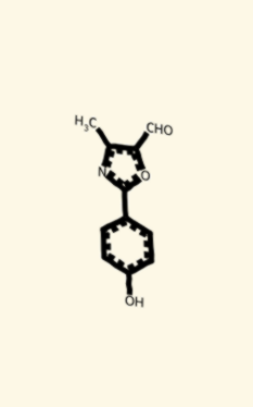 Cc1nc(-c2ccc(O)cc2)oc1C=O